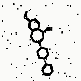 COc1ccc2c(c1)CCN([C@H]1CC[C@@H](c3ccccc3)CC1)CC2O